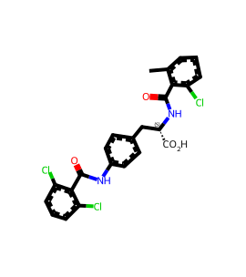 Cc1cccc(Cl)c1C(=O)N[C@@H](Cc1ccc(NC(=O)c2c(Cl)cccc2Cl)cc1)C(=O)O